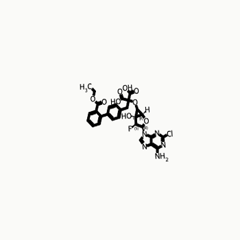 CCOC(=O)c1ccccc1-c1ccc(CC(OC2[C@H]3O[C@@H](n4cnc5c(N)nc(Cl)nc54)[C@@H](F)[C@@]23O)(C(=O)O)C(=O)O)cc1